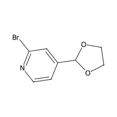 Brc1cc(C2OCCO2)ccn1